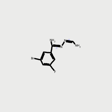 N/C=N\N=C(/N)c1cc(F)cc(Br)c1